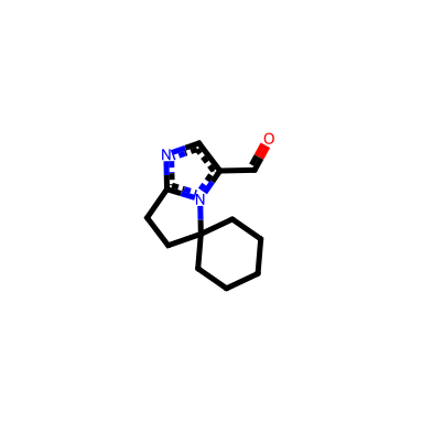 O=Cc1cnc2n1C1(CCCCC1)CC2